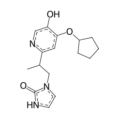 CC(Cn1cc[nH]c1=O)c1cc(OC2CCCC2)c(O)cn1